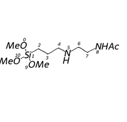 CO[Si](CCCNCCNC(C)=O)(OC)OC